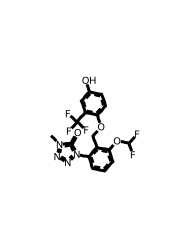 Cn1nnn(-c2cccc(OC(F)F)c2COc2ccc(O)cc2C(F)(F)F)c1=O